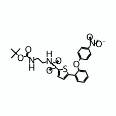 CC(C)(C)OC(=O)NCCNS(=O)(=O)c1ccc(-c2ccccc2Oc2ccc([N+](=O)[O-])cc2)s1